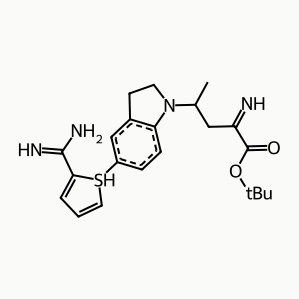 CC(CC(=N)C(=O)OC(C)(C)C)N1CCc2cc([SH]3C=CC=C3C(=N)N)ccc21